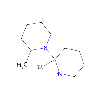 CCC1(N2CCCCC2C)CCCC[N]1